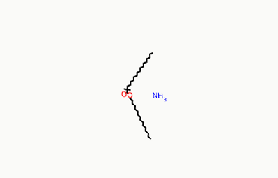 CCCCCCCCCCCCCCCCOC(=O)C(C)(C)CCCCCCCCCCCCCCCC.N